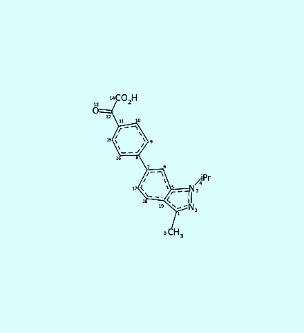 Cc1nn(C(C)C)c2cc(-c3ccc(C(=O)C(=O)O)cc3)ccc12